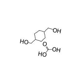 O=C(O)O.OCC1CCC(CO)CC1